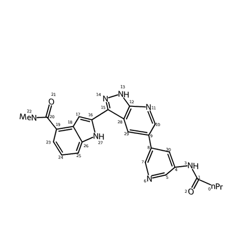 CCCC(=O)Nc1cncc(-c2cnc3[nH]nc(-c4cc5c(C(=O)NC)cccc5[nH]4)c3c2)c1